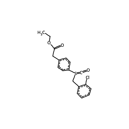 CCOC(=O)Cc1ccc(S(=C=O)Cc2ccccc2Cl)cc1